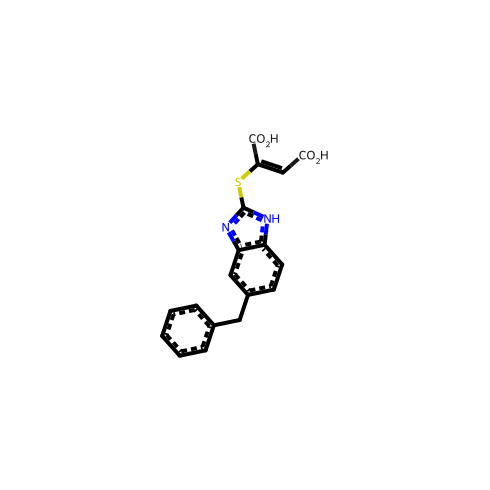 O=C(O)C=C(Sc1nc2cc(Cc3ccccc3)ccc2[nH]1)C(=O)O